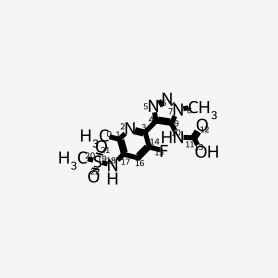 Cc1nc(-c2nnn(C)c2NC(=O)O)c(F)cc1NS(C)(=O)=O